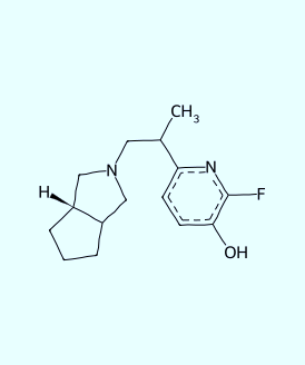 CC(CN1CC2CCC[C@@H]2C1)c1ccc(O)c(F)n1